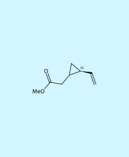 C=C[C@@H]1CC1CC(=O)OC